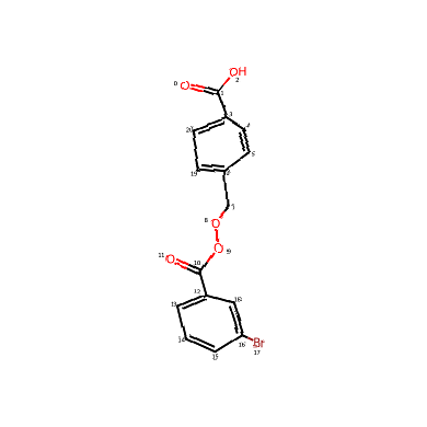 O=C(O)c1ccc(COOC(=O)c2cccc(Br)c2)cc1